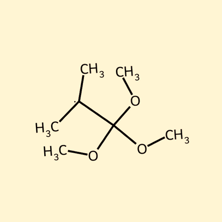 COC(OC)(OC)[C](C)C